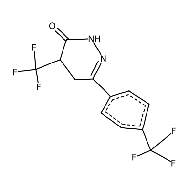 O=C1NN=C(c2ccc(C(F)(F)F)cc2)CC1C(F)(F)F